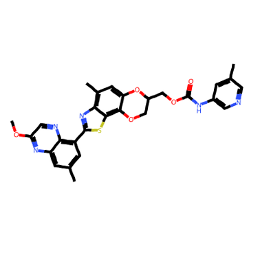 COc1cnc2c(-c3nc4c(C)cc5c(c4s3)OCC(COC(=O)Nc3cncc(C)c3)O5)cc(C)cc2n1